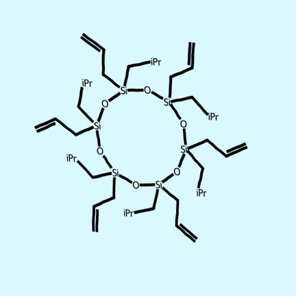 C=CC[Si]1(CC(C)C)O[Si](CC=C)(CC(C)C)O[Si](CC=C)(CC(C)C)O[Si](CC=C)(CC(C)C)O[Si](CC=C)(CC(C)C)O[Si](CC=C)(CC(C)C)O1